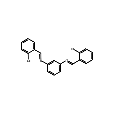 Oc1ccccc1C=Nc1cccc(N=Cc2ccccc2O)c1